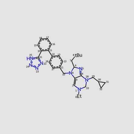 CCN1C=C2C(=NC(CC(C)(C)C)N2Cc2ccc(-c3ccccc3-c3nnn[nH]3)cc2)N(CC2CC2)C1